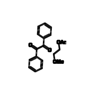 COCCOC(C)=O.O=C(C(=O)c1ccccc1)c1ccccc1